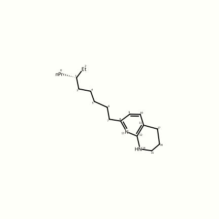 CCC[C@H](CC)CCCCCc1ccc2c(n1)NCCC2